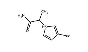 CC(C(N)=O)[SH]1C=CC(Br)=C1